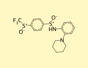 [O-][S+](Nc1ccccc1N1CCCCC1)c1ccc([S+]([O-])C(F)(F)F)cc1